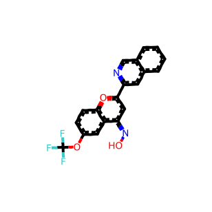 O/N=c1/cc(-c2cc3ccccc3cn2)oc2ccc(OC(F)(F)F)cc12